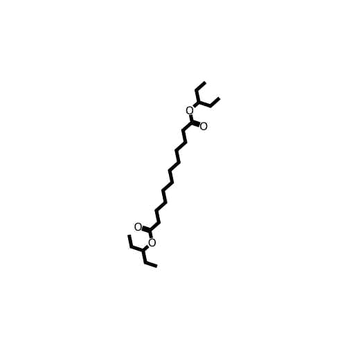 CCC(CC)OC(=O)CCCCCCCCCCC(=O)OC(CC)CC